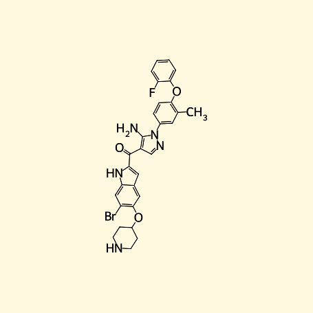 Cc1cc(-n2ncc(C(=O)c3cc4cc(OC5CCNCC5)c(Br)cc4[nH]3)c2N)ccc1Oc1ccccc1F